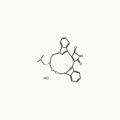 CN(C)C[C@@H]1CCn2cc(c3ccccc32)C2=C(C(=O)NC2=O)c2cn(c3ccccc23)CCO1.Cl